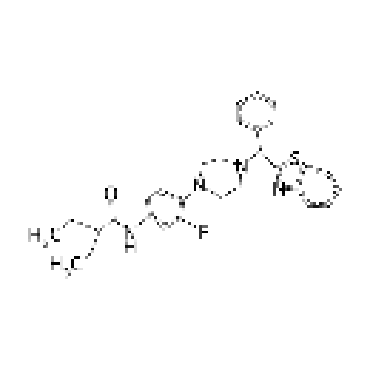 CCC(CC)C(=O)Nc1ccc(N2CCN(C(c3ccccc3)c3nc4ccccc4s3)CC2)c(F)c1